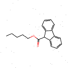 CCCCCOC(=O)C1c2ccccc2-c2ccccc21